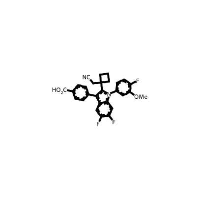 COc1cc(-n2c(C3(CC#N)CCC3)c(-c3ccc(C(=O)O)cc3)c3cc(F)c(F)cc32)ccc1F